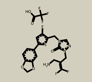 NCC(Cn1ncn(Cc2sc(-c3ccc4c(c3)OCO4)cc2F)c1=O)=C(F)F.O=C(O)C(F)(F)F